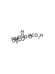 O=C1NC(=O)/C(=C\c2ccc(OCc3ccc(C(=O)O)o3)c(O)c2)S1